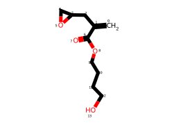 C=C(CC1CO1)C(=O)OCCCCO